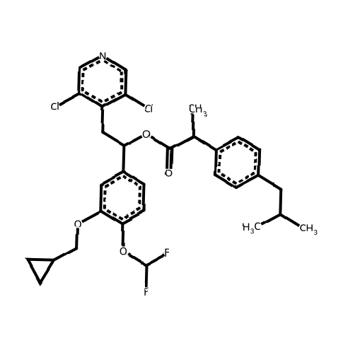 CC(C)Cc1ccc(C(C)C(=O)OC(Cc2c(Cl)cncc2Cl)c2ccc(OC(F)F)c(OCC3CC3)c2)cc1